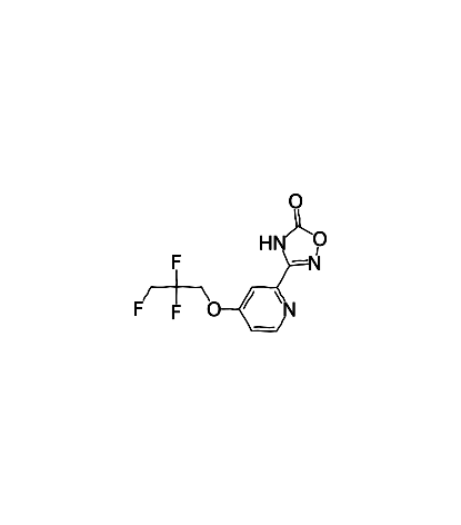 O=c1[nH]c(-c2cc(OCC(F)(F)CF)ccn2)no1